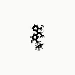 CC(Br)c1oc(=O)c2ccccc2c1-c1ccc(F)c(C2OC(C)(C)C(C)(C)O2)c1